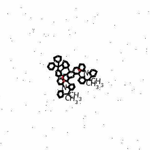 CC1(C)c2ccccc2N(c2ccccc2)c2c(-c3cccc4c(-c5cccc6c5-c5ccccc5C6(c5ccccc5)c5ccccc5)c5cccc(-c6cccc7c6N(c6ccccc6)c6ccccc6C7(C)C)c5cc34)cccc21